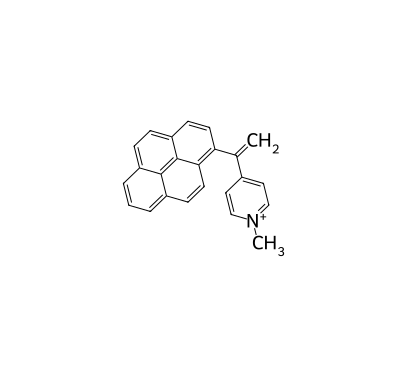 C=C(c1cc[n+](C)cc1)c1ccc2ccc3cccc4ccc1c2c34